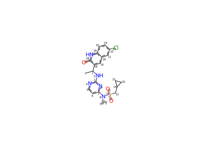 CC(Nc1nccc(N(C(C)C)S(=O)(=O)CC2CC2)n1)c1cc2cc(Cl)ccc2[nH]c1=O